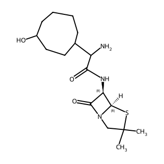 CC1(C)CN2C(=O)[C@@H](NC(=O)C(N)C3CCCCC(O)CC3)[C@H]2S1